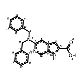 O=C(O)c1cc2cc(N(Cc3ccccc3)Cc3ccccc3)ncc2[nH]1